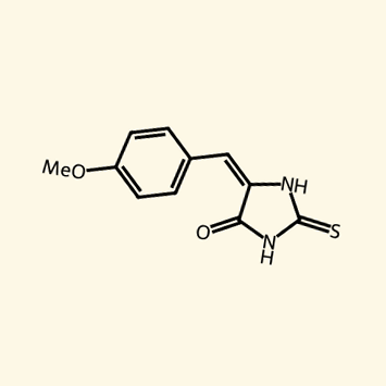 COc1ccc(/C=C2/NC(=S)NC2=O)cc1